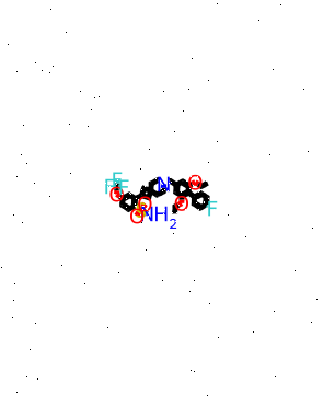 CCOc1cc(CN2CCC3(CC2)CC(c2cc(OC(F)(F)F)ccc2S(N)(=O)=O)C3)cc(OCC)c1-c1ccc(F)cc1